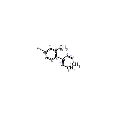 C/C=C\C(=C/C)c1ccc(I)cc1C